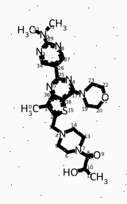 Cc1c(CN2CCN(C(=O)C(C)O)CC2)sc2c(N3CCOCC3)nc(-c3cnc(N(C)C)nc3)nc12